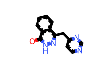 O=c1[nH]nc(Cc2ccncn2)c2ccccc12